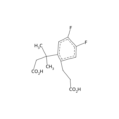 CC(C)(CC(=O)O)c1cc(F)c(F)cc1CCC(=O)O